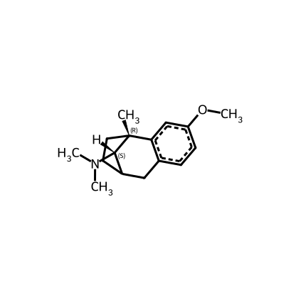 COc1ccc2c(c1)[C@@]1(C)CCC(C2)[C@@H]1N(C)C